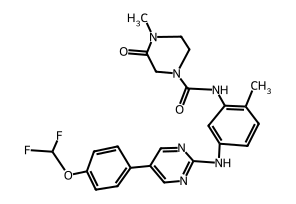 Cc1ccc(Nc2ncc(-c3ccc(OC(F)F)cc3)cn2)cc1NC(=O)N1CCN(C)C(=O)C1